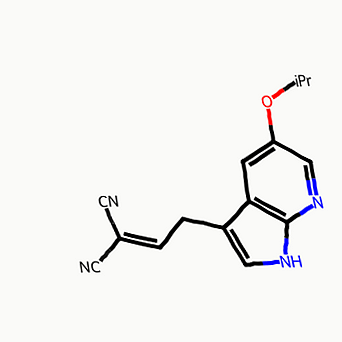 CC(C)Oc1cnc2[nH]cc(CC=C(C#N)C#N)c2c1